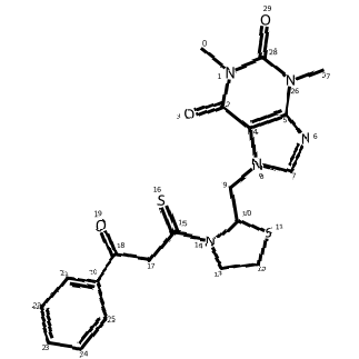 Cn1c(=O)c2c(ncn2CC2SCCN2C(=S)CC(=O)c2ccccc2)n(C)c1=O